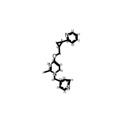 CC1=NC(OCC2CC2c2ccccn2)=CCN1Cc1ccncc1